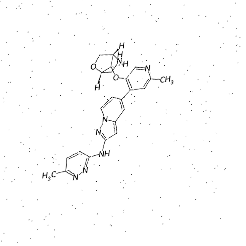 Cc1cc(-c2ccn3nc(Nc4ccc(C)nn4)cc3c2)c(O[C@@H]2[C@@H]3CO[C@H]2CN3)cn1